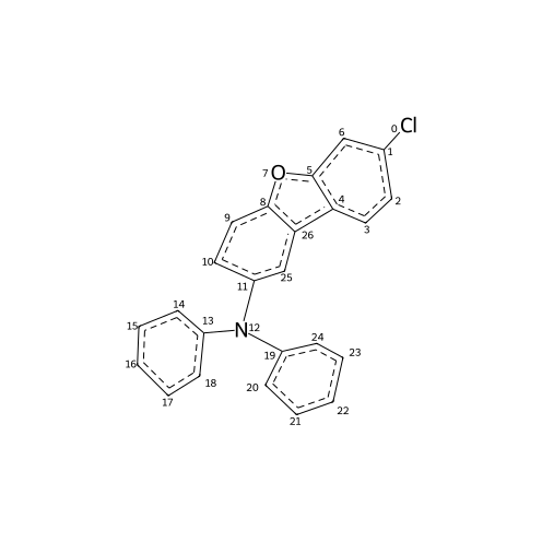 Clc1ccc2c(c1)oc1ccc(N(c3ccccc3)c3ccccc3)cc12